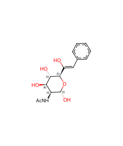 CC(=O)N[C@H]1[C@@H](O)[C@H](O)[C@@H](C(O)=Cc2ccccc2)O[C@@H]1O